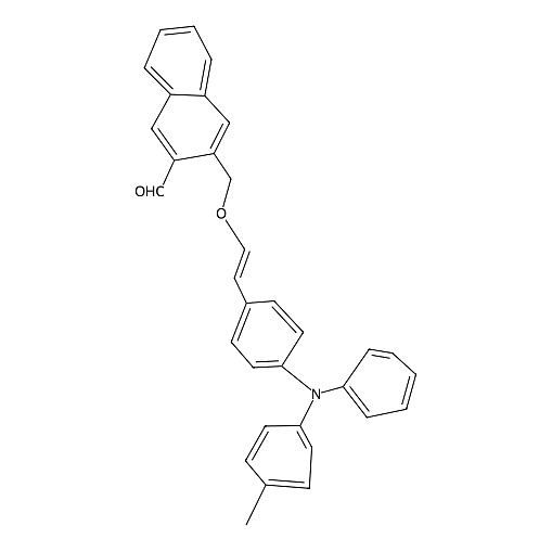 Cc1ccc(N(c2ccccc2)c2ccc(C=COCc3cc4ccccc4cc3C=O)cc2)cc1